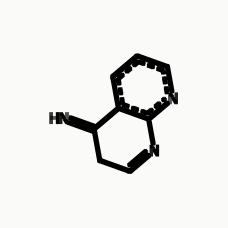 N=C1CC=Nc2ncccc21